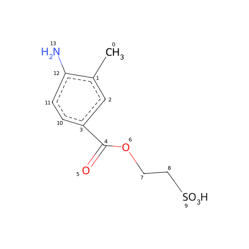 Cc1cc(C(=O)OCCS(=O)(=O)O)ccc1N